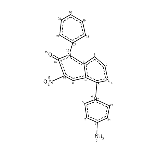 Nc1cc[n+](-c2nccc3c2cc([N+](=O)[O-])c(=O)n3-c2ccccc2)cc1